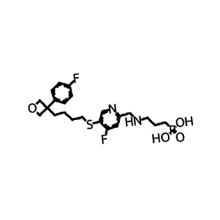 O=P(O)(O)CCCNCc1cc(F)c(SCCCCC2(c3ccc(F)cc3)COC2)cn1